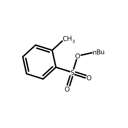 CCCCOS(=O)(=O)c1ccccc1C